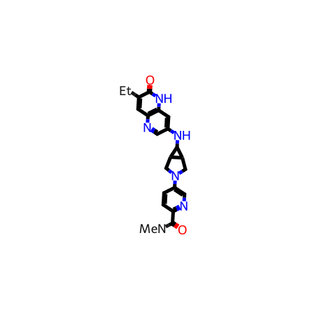 CCc1cc2ncc(NC3C4CN(c5ccc(C(=O)NC)nc5)CC43)cc2[nH]c1=O